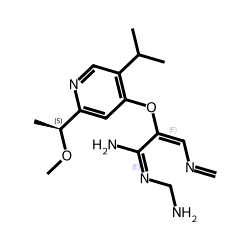 C=N/C=C(Oc1cc([C@H](C)OC)ncc1C(C)C)\C(N)=N/CN